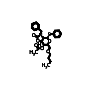 CCCCOCC1O[C@H](Sc2ccccc2)C2[C@@H](OC(=O)N2Cc2ccccc2)[C@@H]1OC(C)=O